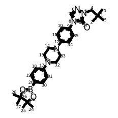 CC(C)(C)Cn1ncn(-c2ccc(N3CCN(c4ccc(B5OC(C)(C)C(C)(C)O5)cc4)CC3)cc2)c1=O